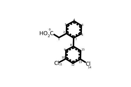 O=C(O)Cc1ccccc1-c1cc(Cl)cc(Cl)c1